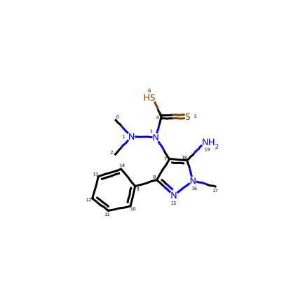 CN(C)N(C(=S)S)c1c(-c2ccccc2)nn(C)c1N